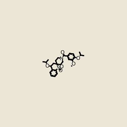 COc1cc(C(=O)N2CCC3(CC2)CC(OC(C)C)c2ccccc2S3(=O)=O)ccc1OC(C)C